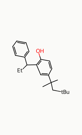 CCC(c1ccccc1)c1cc(C(C)(C)CC(C)(C)C)ccc1O